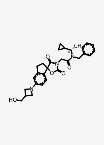 C[C@@H](C1CC1)N(Cc1ccccc1)C(=O)CN1C(=O)OC2(CCc3cc(N4CC(CO)C4)ccc32)C1=O